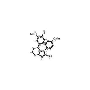 COc1ccc(-n2c(S)nc3c2C(c2ccc(Cl)c(OC)c2)CCC3)cc1